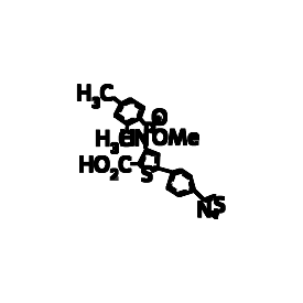 COP(=O)(Nc1cc(-c2ccc(-c3cscn3)cc2)sc1C(=O)O)c1ccc(C)cc1C